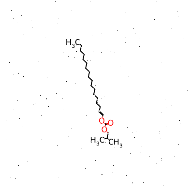 CCCCCCCCCCCCCCCCC=COC(=O)OCC(C)C